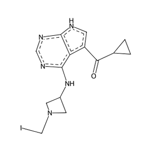 O=C(c1c[nH]c2ncnc(NC3CN(CI)C3)c12)C1CC1